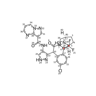 CN1[C@@H]2CC[C@H]1CN(C(=O)C(c1cc(Cl)ccc1OC(F)F)c1n[nH]cc1NC(=O)c1cnn3cccnc13)C2